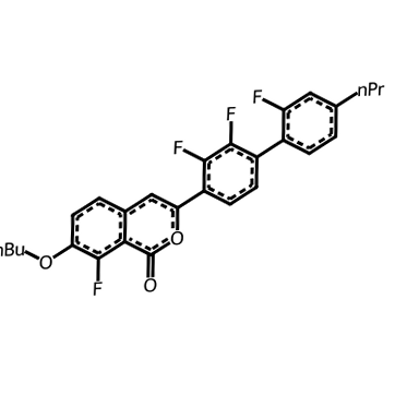 CCCCOc1ccc2cc(-c3ccc(-c4ccc(CCC)cc4F)c(F)c3F)oc(=O)c2c1F